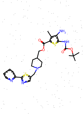 Cc1c(C(=O)OCC2CCN(Cc3cnc(-c4ccccn4)s3)CC2)sc(NC(=O)OC(C)(C)C)c1N